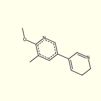 COc1ncc(C2=CCCN=C2)cc1C